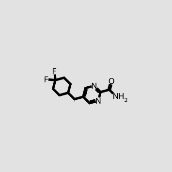 NC(=O)c1ncc([CH]C2CCC(F)(F)CC2)cn1